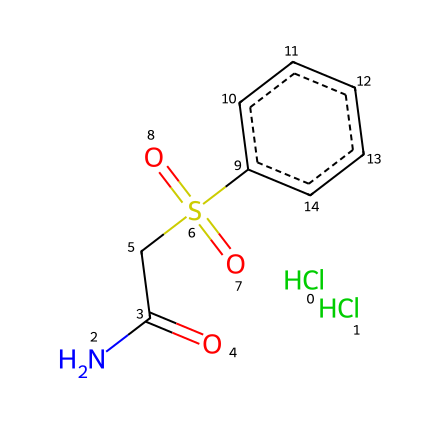 Cl.Cl.NC(=O)CS(=O)(=O)c1ccccc1